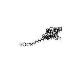 CCCCCCCCC=CCCCCCCCC(=O)NC(=O)OCc1nc(C(C)C)c(Sc2cc(Cl)cc(Cl)c2)n1Cc1ccncc1